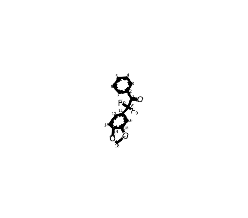 O=C(c1ccccc1)C(F)(F)c1ccc2c(c1)OCO2